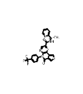 C[C@H](NC(=O)c1cnc2c(n1)c1cscc1c(=O)n2-c1ccc(C(F)(F)F)cc1)c1ccccn1